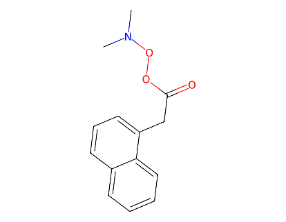 CN(C)OOC(=O)Cc1cccc2ccccc12